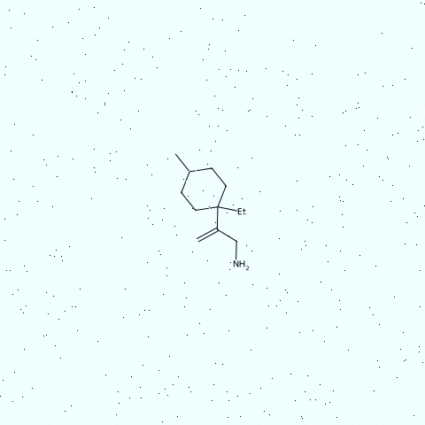 C=C(CN)C1(CC)CCC(C)CC1